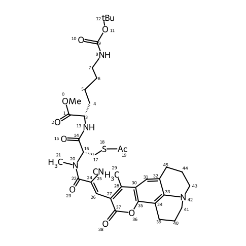 COC(=O)[C@H](CCCCNC(=O)OC(C)(C)C)NC(=O)[C@H](CSC(C)=O)N(C)C(=O)/C(C#N)=C/c1c(C)c2cc3c4c(c2oc1=O)CCCN4CCC3